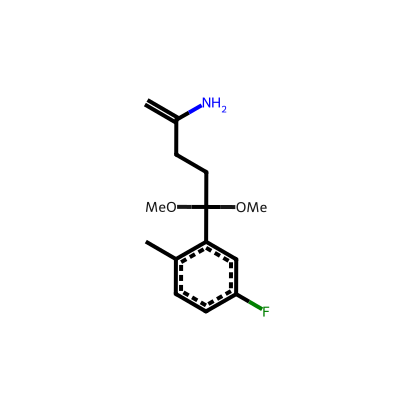 C=C(N)CCC(OC)(OC)c1cc(F)ccc1C